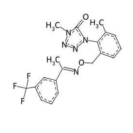 CC(=NOCc1cccc(C)c1-n1nnn(C)c1=O)c1cccc(C(F)(F)F)c1